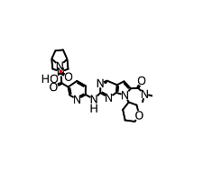 CN(C)C(=O)c1cc2cnc(Nc3ccc(C(=O)N4CC5CCC(C4)N5C(=O)O)cn3)nc2n1C1CCCOC1